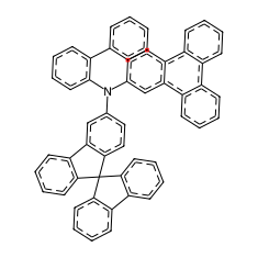 c1ccc(-c2ccccc2N(c2ccc3c(c2)-c2ccccc2C32c3ccccc3-c3ccccc32)c2ccc3c4ccccc4c4ccccc4c3c2)cc1